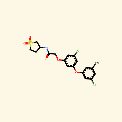 N#Cc1cc(Cl)cc(Oc2cc(Cl)cc(OCC(=O)NC3CCS(=O)(=O)C3)c2)c1